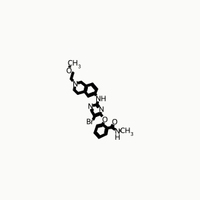 CNC(=O)c1ccccc1Oc1nc(Nc2ccc3c(c2)CCN(CCOC)C3)ncc1Br